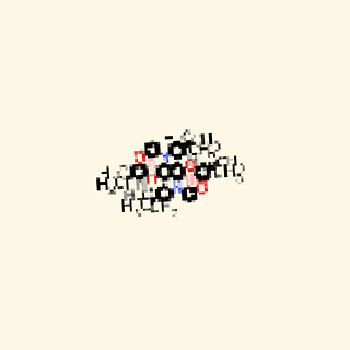 CC(C)(C)c1ccc(N2c3cccc4c3B3c5c(cc(C(C)(C)C)cc5Oc5cc6c7c8c(cc6c2c53)Oc2cc(C(C)(C)C)cc3c2B8c2c(cccc2N7c2ccc(C(C)(C)C)cc2)O3)O4)cc1